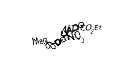 CCOC(=O)OC1CCN(c2nccc(Oc3ccc(C(=O)CC(=O)OC)cc3)c2[N+](=O)[O-])CC1